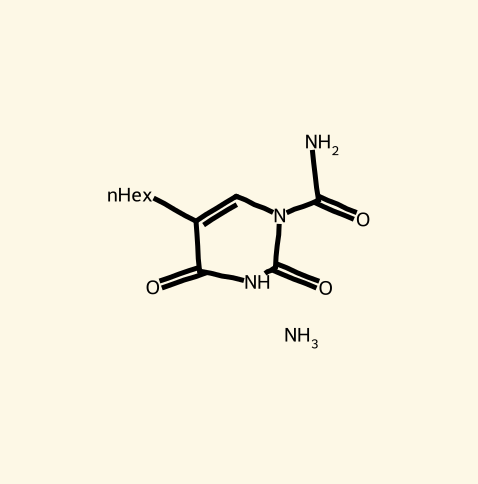 CCCCCCc1cn(C(N)=O)c(=O)[nH]c1=O.N